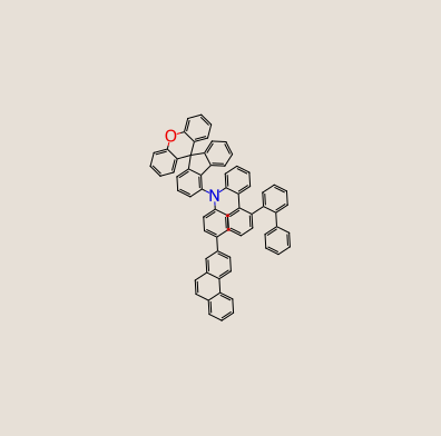 c1ccc(-c2ccccc2-c2ccccc2-c2ccccc2N(c2ccc(-c3ccc4c(ccc5ccccc54)c3)cc2)c2cccc3c2-c2ccccc2C32c3ccccc3Oc3ccccc32)cc1